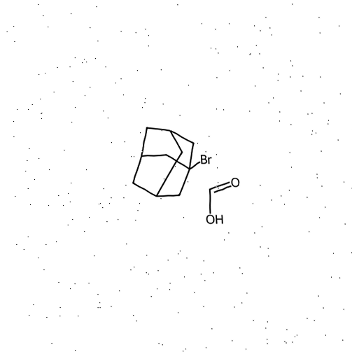 BrC12CC3CC(CC(C3)C1)C2.O=CO